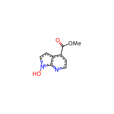 COC(=O)c1ccnc2c1ccn2O